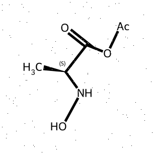 CC(=O)OC(=O)[C@H](C)NO